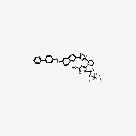 CC(C)(C)OC(=O)NC(=NC(=O)O)N1CCCC1c1nc(-c2ccc3cc(OCc4ccc(-c5ccccc5)cc4)ccc3c2)no1